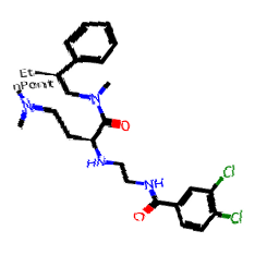 CCCCCN(C)CC[C@H](NCCNC(=O)c1ccc(Cl)c(Cl)c1)C(=O)N(C)C[C@@H](CC)c1ccccc1